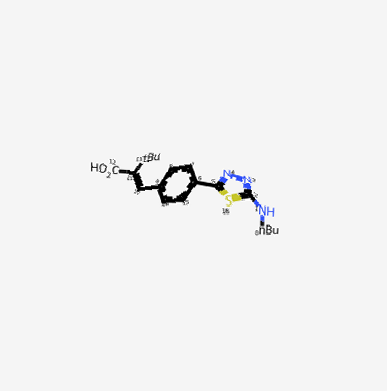 CCCCNc1nnc(-c2ccc(C=C(C(=O)O)C(C)(C)C)cc2)s1